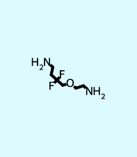 NCCOCC(F)(F)CCN